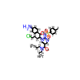 Cc1ccc(S(=O)(=O)/N=c2\ncc(C(=O)N(CCC(C)C)CCC(C)C)cn2C(CCCCl)C(=O)c2ccc(N)cc2)cc1